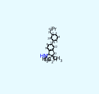 CC(C)Cc1cccc(-c2ccc3c(c2)CC(C)(C)C3NC(=O)O)c1